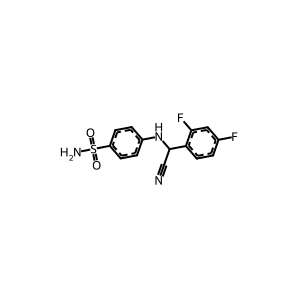 N#CC(Nc1ccc(S(N)(=O)=O)cc1)c1ccc(F)cc1F